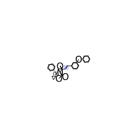 O=C(/C=C/c1cccc(Oc2ccccc2)c1)N1C(=O)OC2(CC2)[C@@H]1c1ccccc1